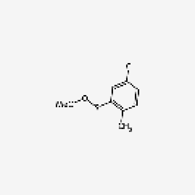 COOSc1cc(Cl)ccc1C